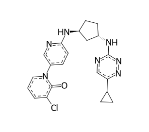 O=c1c(Cl)cccn1-c1ccc(N[C@H]2CC[C@H](Nc3ncc(C4CC4)nn3)C2)nc1